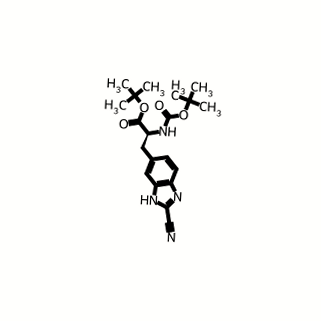 CC(C)(C)OC(=O)N[C@@H](Cc1ccc2nc(C#N)[nH]c2c1)C(=O)OC(C)(C)C